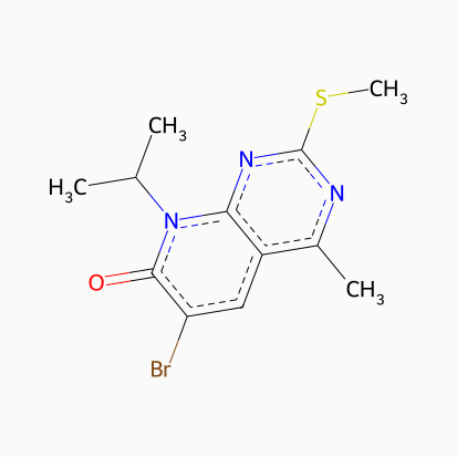 CSc1nc(C)c2cc(Br)c(=O)n(C(C)C)c2n1